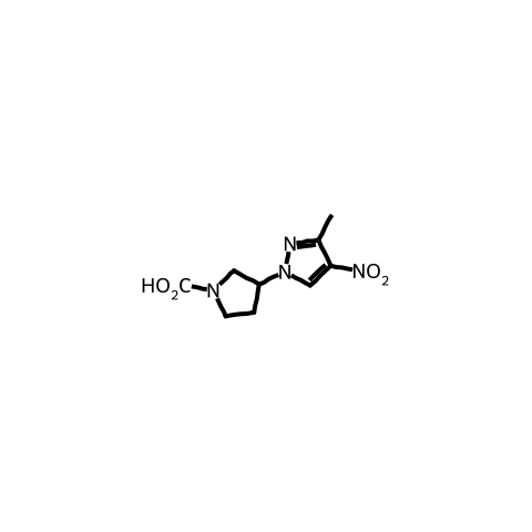 Cc1nn(C2CCN(C(=O)O)C2)cc1[N+](=O)[O-]